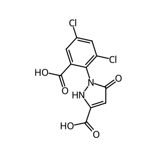 O=C(O)c1cc(=O)n(-c2c(Cl)cc(Cl)cc2C(=O)O)[nH]1